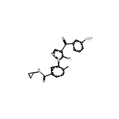 Cc1ccc(C(=O)NC2CC2)cc1-n1ncc(C(=O)c2cccc(C(=O)O)c2)c1N